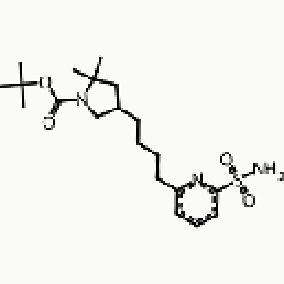 CC(C)(C)OC(=O)N1CC(CCCCc2cccc(S(N)(=O)=O)n2)CC1(C)C